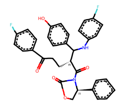 O=C(CC[C@@H](C(=O)N1C(=O)OC[C@@H]1c1ccccc1)C(Nc1ccc(F)cc1)c1ccc(O)cc1)c1ccc(F)cc1